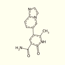 Cc1[nH]c(=O)c(C(N)=O)cc1-c1ccc2nccn2c1